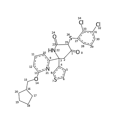 O=C1CC(c2ccsc2)(c2cccc(OCC3CCCC3)n2)NC(=O)C1Sc1cccc(Cl)c1Cl